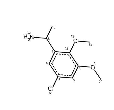 COc1cc(Cl)cc(C(C)N)c1OC